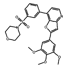 COc1cc(-c2cc3nccc(-c4cccc(S(=O)(=O)N5CCOCC5)c4)c3o2)cc(OC)c1OC